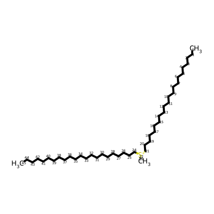 CCCCCCCCCCCCCCCCCCCCCC[S+](C)CCCCCCCCCCCCCCCCCCCCCC